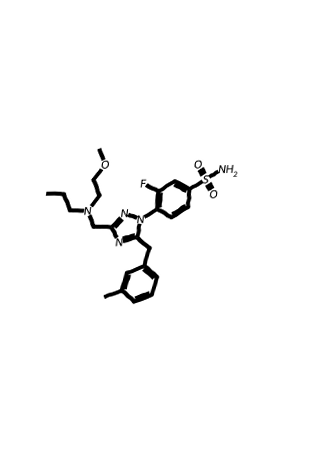 CCCN(CCOC)Cc1nc(Cc2cccc(C)c2)n(-c2ccc(S(N)(=O)=O)cc2F)n1